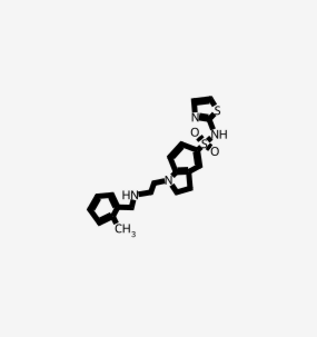 Cc1ccccc1CNCCN1CCc2cc(S(=O)(=O)Nc3nccs3)ccc21